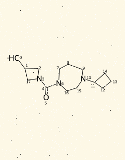 [CH]C1CN(C(=O)N2CCCN(C3CCC3)CC2)C1